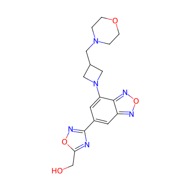 OCc1nc(-c2cc(N3CC(CN4CCOCC4)C3)c3nonc3c2)no1